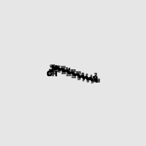 CN(C)CCCCCCCCCCCCCCCCN(C)CCO